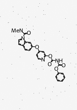 CNC(=O)n1ccc2ccc(Oc3ccnc(OC(=O)NC(=O)Oc4ccccc4)c3)cc21